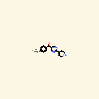 COc1ccc(C(=O)c2cnc(C3=CCNCC3)nc2)cc1